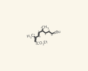 CCOC(=O)C=C(C)C=CC(C)CCCC(C)(C)C